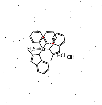 CC1=Cc2ccccc2[CH]1[Zr](=[SiH2])([c]1ccccc1)([c]1ccccc1)[CH]1C(C)=Cc2ccccc21.Cl.Cl